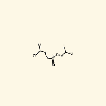 O=[PH](OCC(Cl)Cl)OCC(Cl)Cl